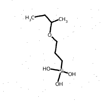 CCC(C)OCCC[Si](O)(O)O